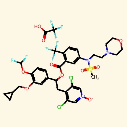 CS(=O)(=O)N(CCN1CCOCC1)c1ccc(C(F)(F)F)c(C(=O)OC(Cc2c(Cl)c[n+]([O-])cc2Cl)c2ccc(OC(F)F)c(OCC3CC3)c2)c1.O=C(O)C(F)(F)F